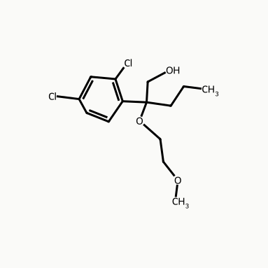 CCCC(CO)(OCCOC)c1ccc(Cl)cc1Cl